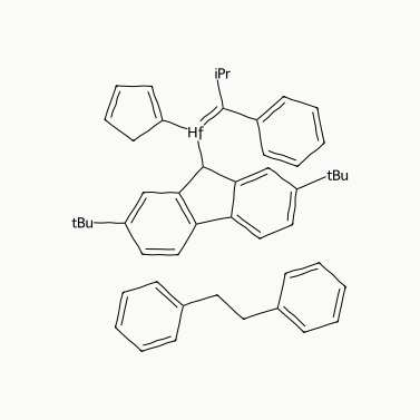 CC(C)/[C](c1ccccc1)=[Hf](\[C]1=CC=CC1)[CH]1c2cc(C(C)(C)C)ccc2-c2ccc(C(C)(C)C)cc21.c1ccc(CCc2ccccc2)cc1